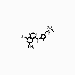 CC(C)(C)c1cc(N)cc2c(Nc3cc(CNS(C)(=O)=O)cs3)ncnc12